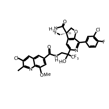 COc1cc(C(=O)NCC(O)(c2cc3c(c(-c4ccc(F)c(Cl)c4)n2)OC[C@]3(CF)C(N)=O)C(F)(F)F)cc2cc(Cl)c(C)nc12